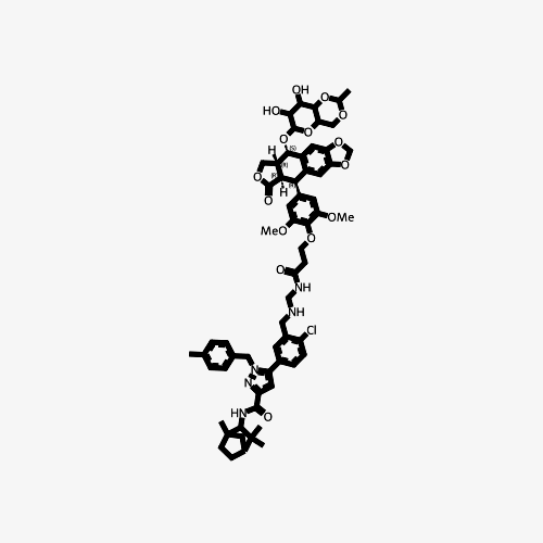 COc1cc([C@@H]2c3cc4c(cc3[C@@H](OC3OC5COC(C)OC5C(O)C3O)[C@H]3COC(=O)[C@H]23)OCO4)cc(OC)c1OCCC(=O)NCNCc1cc(-c2cc(C(=O)NC3C4(C)CCC(C4)C3(C)C)nn2Cc2ccc(C)cc2)ccc1Cl